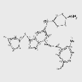 NC1CCC(Nc2nc(NCc3cc(I)ccc3O)c3ncn(Cc4ccccc4)c3n2)CC1